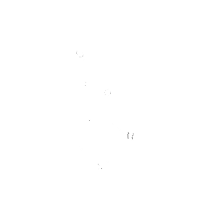 O=S1Cc2cncnc2O1